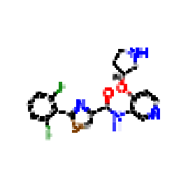 O=C(Nc1cnccc1O[C@H]1CCNC1)c1csc(-c2c(F)cccc2F)n1